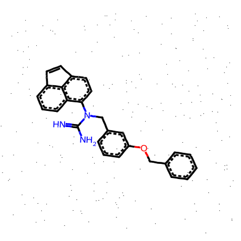 N=C(N)N(Cc1cccc(OCc2ccccc2)c1)c1ccc2c3c(cccc13)C=C2